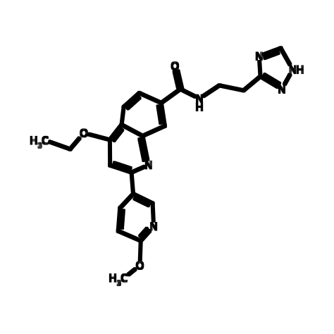 CCOc1cc(-c2ccc(OC)nc2)nc2cc(C(=O)NCCc3nc[nH]n3)ccc12